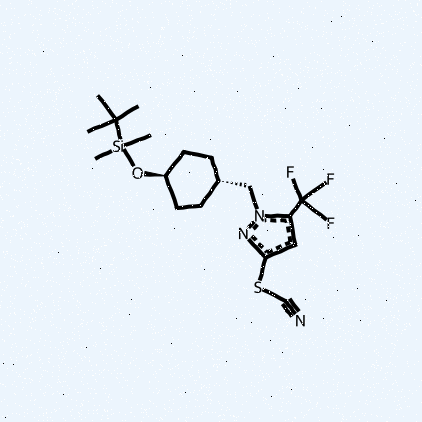 CC(C)(C)[Si](C)(C)O[C@H]1CC[C@H](Cn2nc(SC#N)cc2C(F)(F)F)CC1